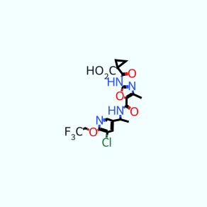 Cc1nc(NC(=O)C2(C(=O)O)CC2)oc1C(=O)NC(C)c1cnc(OCC(F)(F)F)c(Cl)c1